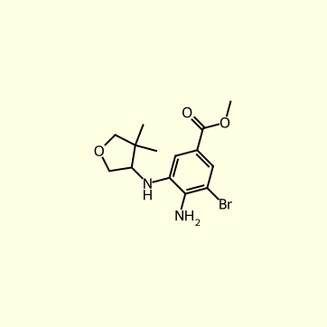 COC(=O)c1cc(Br)c(N)c(NC2COCC2(C)C)c1